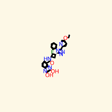 CCOc1ccc(-c2nnc([C@H]3C[C@H](NC(=O)c4cccc5nc(O)c(O)nc45)C3)n2-c2ccccc2F)nc1